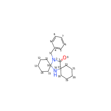 O=C1N(Cc2ccccc2)C2(CCCCC2)NC12CCCCC2